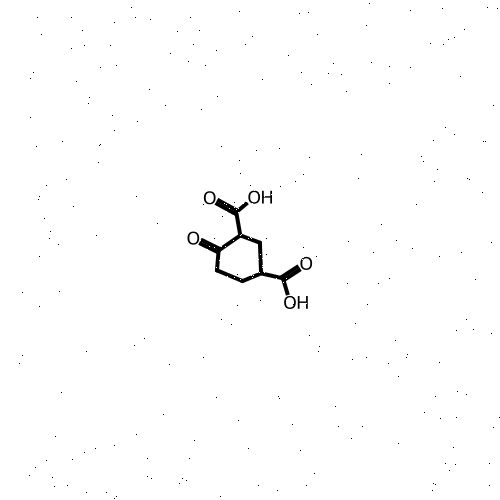 O=C(O)C1CCC(=O)C(C(=O)O)C1